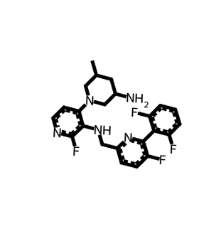 CC1CC(N)CN(c2ccnc(F)c2NCc2ccc(F)c(-c3c(F)cccc3F)n2)C1